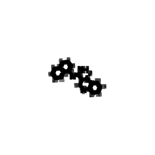 NC(=Nc1cccc2ccccc12)C1C[N]c2ccccc2S1